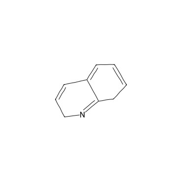 C1=CCC2=NCC=CC2=C1